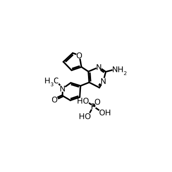 Cn1cc(-c2cnc(N)nc2-c2ccco2)ccc1=O.O=P(O)(O)O